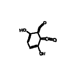 O=C=c1c(O)ccc(O)c1=C=O